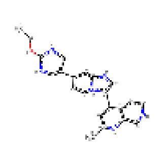 CCOc1ncc(-c2ccn3c(-c4cc(C)nc5cnccc45)cnc3c2)cn1